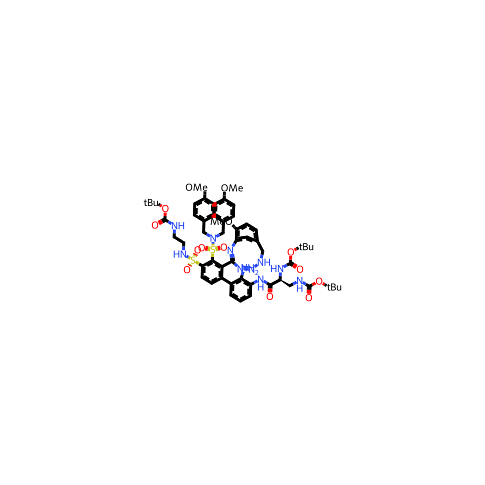 COc1ccc(CN(Cc2ccc(OC)cc2)S(=O)(=O)c2c(S(=O)(=O)NCCNC(=O)OC(C)(C)C)ccc(-c3cccc(NC(=O)[C@H](CNC(=O)OC(C)(C)C)NC(=O)OC(C)(C)C)c3N)c2C2=N/c3cc(ccc3OC)CN/N=N\2)cc1